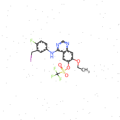 CCOc1cc2ncnc(Nc3ccc(F)c(CI)c3)c2cc1OS(=O)(=O)C(F)(F)F